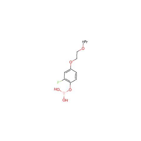 CCCOCCOc1ccc(OB(O)O)c(F)c1